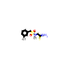 CCc1cccc(CS(=O)(=O)N(CC)CC(N)=S)c1